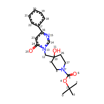 CC(C)(C)OC(=O)N1CCC(O)(Cn2cnc(-c3ccccc3)cc2=O)CC1